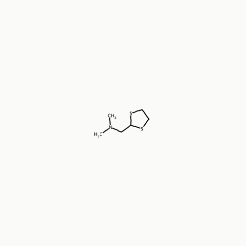 CN(C)CC1SCCS1